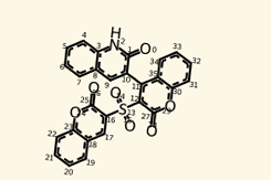 O=c1[nH]c2ccccc2cc1-c1c(S(=O)(=O)c2cc3ccccc3oc2=O)c(=O)oc2ccccc12